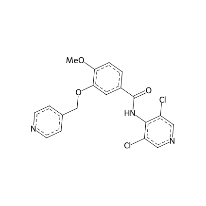 COc1ccc(C(=O)Nc2c(Cl)cncc2Cl)cc1OCc1ccncc1